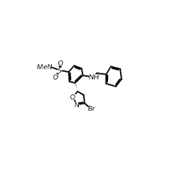 CNS(=O)(=O)c1ccc(NCc2ccccc2)c([C@@H]2CC(Br)=NO2)c1